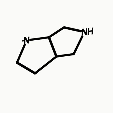 C1CC2CNCC2[N]1